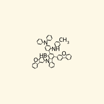 Cc1ccc(Nc2cc(N(c3ccccc3)c3ccccc3)ccc2-c2cc(-c3ccc4c(c3)oc3ccccc34)c3c4ccccc4n4c3c2Bc2cc3oc5ccccc5c3cc2-4)cc1